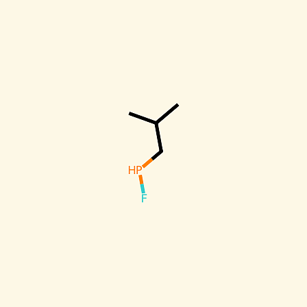 CC(C)CPF